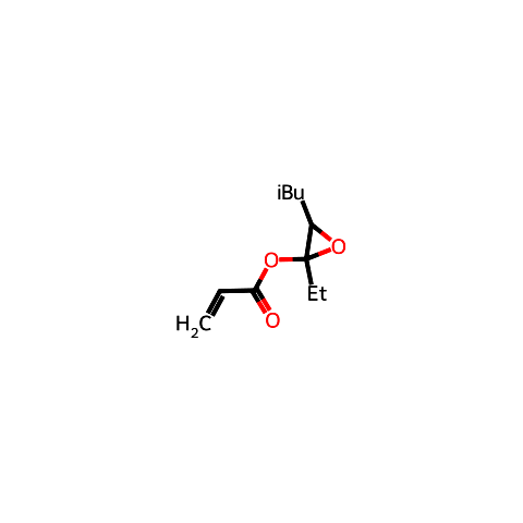 C=CC(=O)OC1(CC)OC1C(C)CC